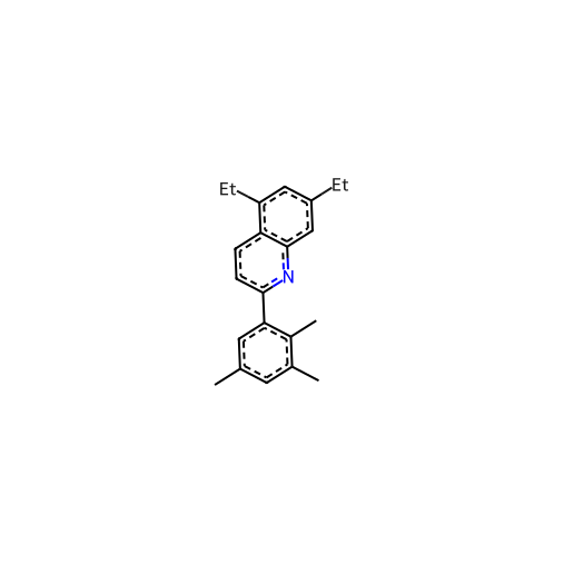 CCc1cc(CC)c2ccc(-c3cc(C)cc(C)c3C)nc2c1